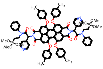 CO[Si](CCN(C(=O)C(c1ccncc1)N1C(=O)c2cc(Oc3ccc(C)cc3)c3c4c(Oc5ccc(C)cc5)cc5c6c(cc(Oc7ccc(C)cc7)c(c7c(Oc8ccc(C)cc8)cc(c2c37)C1=O)c64)C(=O)N(C(C(=O)N(CC[Si](OC)(OC)OC)c1ccccc1)c1ccncc1)C5=O)c1ccccc1)(OC)OC